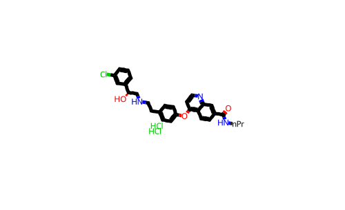 CCCNC(=O)c1ccc2c(Oc3ccc(CCNC[C@@H](O)c4cccc(Cl)c4)cc3)ccnc2c1.Cl.Cl